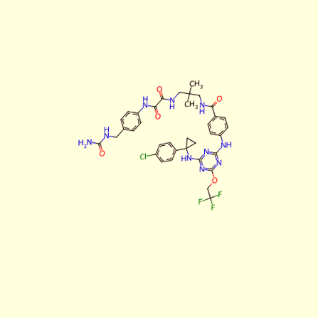 CC(C)(CNC(=O)C(=O)Nc1ccc(CNC(N)=O)cc1)CNC(=O)c1ccc(Nc2nc(NC3(c4ccc(Cl)cc4)CC3)nc(OCC(F)(F)F)n2)cc1